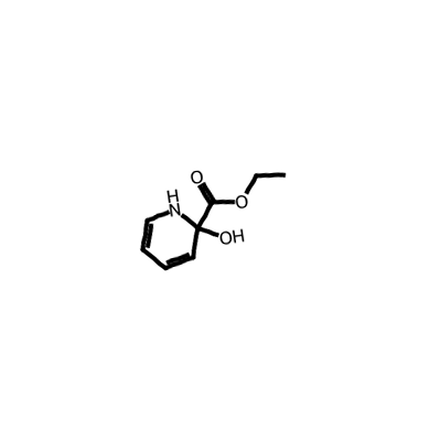 CCOC(=O)C1(O)C=CC=CN1